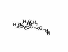 C=C(C)C(=O)OCc1cc(CCCCc2ccc(OCCCCCOc3ccncc3)cc2)ccc1-c1ccc(OCCCOC(=O)C(C)=O)cc1